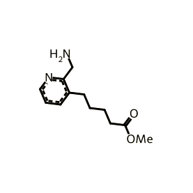 COC(=O)CCCCc1cccnc1CN